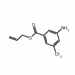 C=CCOC(=O)c1cc(N)cc(C(F)(F)F)c1